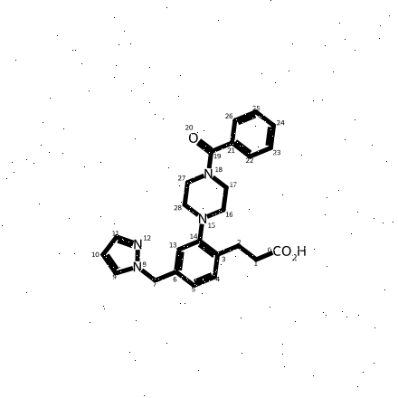 O=C(O)CCc1ccc(Cn2cccn2)cc1N1CCN(C(=O)c2ccccc2)CC1